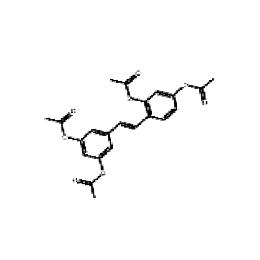 CC(=O)Oc1cc(/C=C/c2ccc(OC(C)=O)cc2OC(C)=O)cc(OC(C)=O)c1